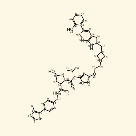 Cc1ncsc1-c1ccc(CNC(=O)[C@@H]2C[C@@H](O)CN2C(=O)[C@@H](c2cc(OCCN3CC(Cc4cc5cc(-c6ccccc6O)nnc5[nH]4)C3)no2)C(C)C)cc1